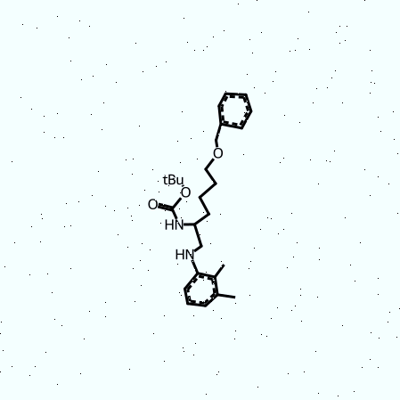 Cc1cccc(NCC(CCCCOCc2ccccc2)NC(=O)OC(C)(C)C)c1C